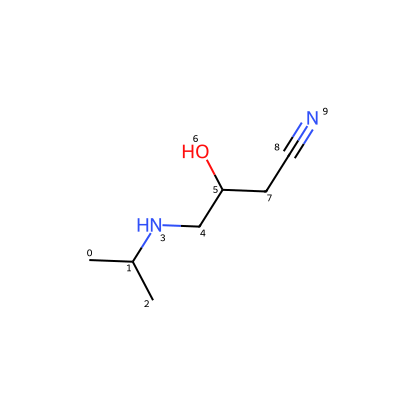 CC(C)NCC(O)CC#N